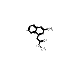 COC(=O)Cc1cc(N)cc2ccccc12